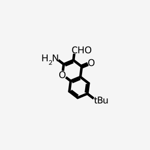 CC(C)(C)c1ccc2oc(N)c(C=O)c(=O)c2c1